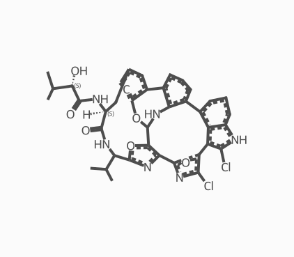 CC(C)C1NC(=O)[C@@H](NC(=O)[C@@H](O)C(C)C)Cc2ccc3c(c2)-c2cccc4c2NC(O3)c2oc1nc2-c1nc(Cl)c(o1)-c1c(Cl)[nH]c2cccc-4c12